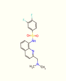 CN(C)Cc1ccc2cccc(NS(=O)(=O)c3ccc(F)c(F)c3)c2n1